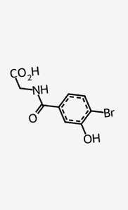 O=C(O)CNC(=O)c1ccc(Br)c(O)c1